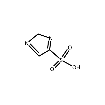 O=S(=O)(O)C1=NCN=C1